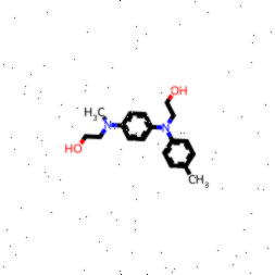 Cc1ccc(N(CCO)c2ccc(N(C)CCO)cc2)cc1